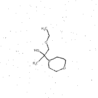 CCOCC(C)(O)N1CCOCC1